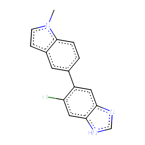 Cn1ccc2cc(-c3cc4nc[nH]c4cc3Cl)ccc21